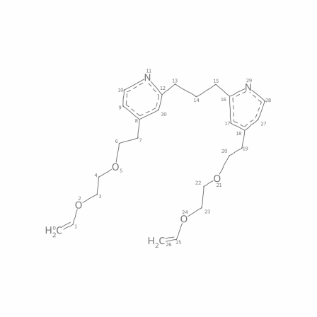 C=COCCOCCc1ccnc(CCCc2cc(CCOCCOC=C)ccn2)c1